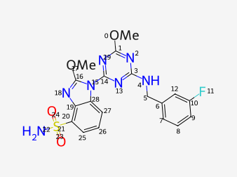 COc1nc(NCc2cccc(F)c2)nc(-n2c(OC)nc3c(S(N)(=O)=O)cccc32)n1